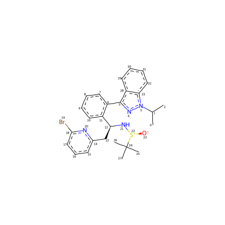 CC(C)n1nc(-c2ccccc2[C@H](Cc2cccc(Br)n2)N[S@@+]([O-])C(C)(C)C)c2ccccc21